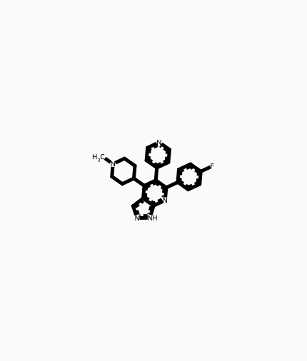 CN1CCC(c2c(-c3ccncc3)c(-c3ccc(F)cc3)nc3[nH]ncc23)CC1